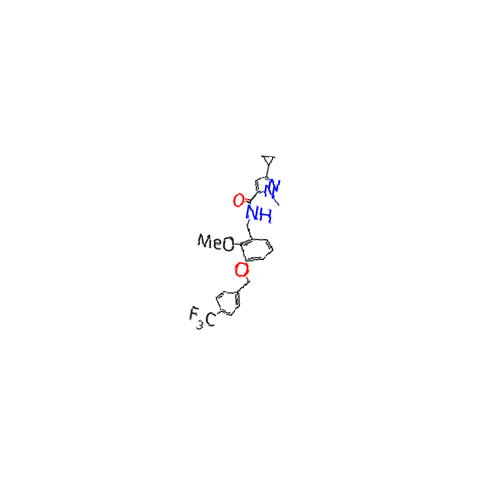 COc1c(CNC(=O)c2cc(C3CC3)nn2C)cccc1OCc1ccc(C(F)(F)F)cc1